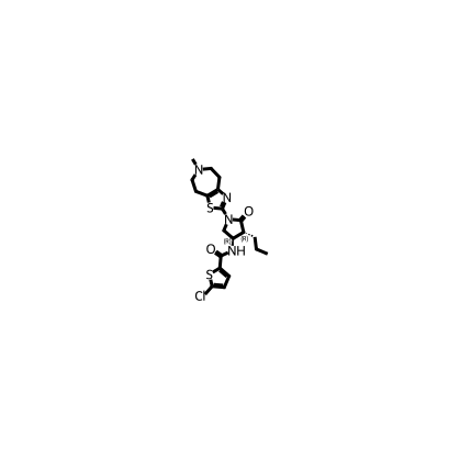 CCC[C@H]1C(=O)N(c2nc3c(s2)CCN(C)CC3)C[C@@H]1NC(=O)c1ccc(Cl)s1